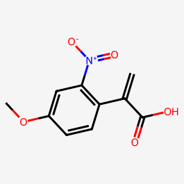 C=C(C(=O)O)c1ccc(OC)cc1[N+](=O)[O-]